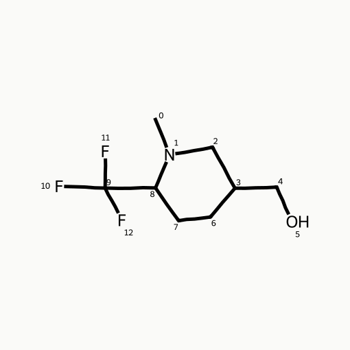 CN1CC(CO)CCC1C(F)(F)F